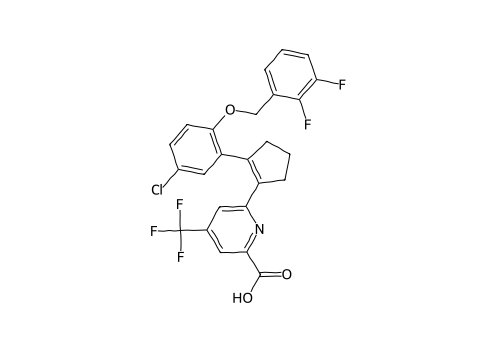 O=C(O)c1cc(C(F)(F)F)cc(C2=C(c3cc(Cl)ccc3OCc3cccc(F)c3F)CCC2)n1